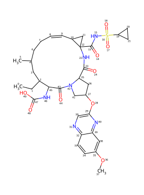 CCC1CC(C)CCC=CC2CC2(C(=O)NS(=O)(=O)C2CC2)NC(=O)C2CC(Oc3cnc4ccc(OC)cc4n3)CN2C(=O)C1NC(=O)O